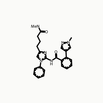 CNC(=O)CCCc1cn(-c2ccccc2)c(NC(=O)c2ccccc2-c2cnn(C)c2)n1